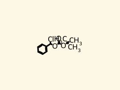 CC(C)(C)OC(=O)OC(Cl)c1ccccc1